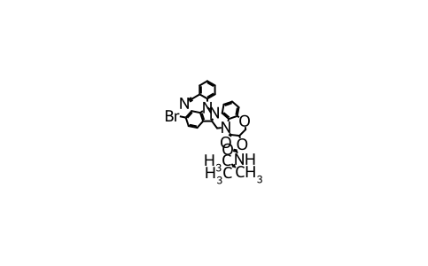 CC(C)(C)NC(=O)OC1COc2ccccc2N(Cc2nn(-c3ccccc3C#N)c3cc(Br)ccc23)C1=O